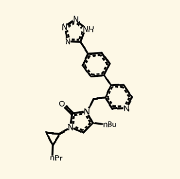 CCCCc1cn(C2CC2CCC)c(=O)n1Cc1cnccc1-c1ccc(-c2nnn[nH]2)cc1